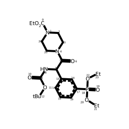 CCOC(=O)N1CCN(C(=O)C(NC(=O)OC(C)(C)C)c2cccc(P(=O)(OCC)OCC)c2)CC1